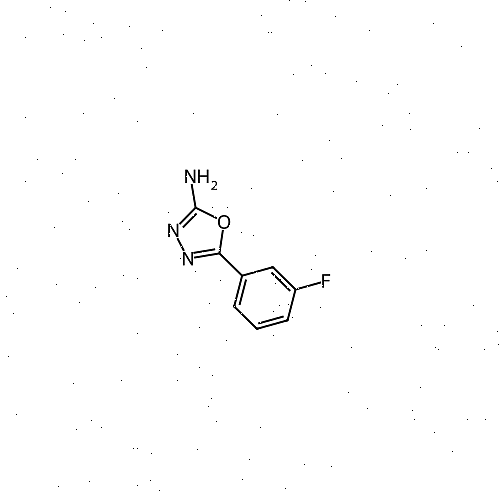 Nc1nnc(-c2cccc(F)c2)o1